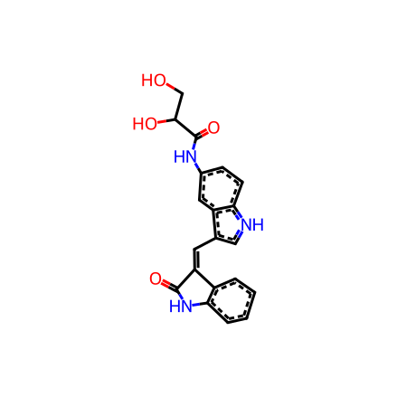 O=C1Nc2ccccc2/C1=C\c1c[nH]c2ccc(NC(=O)C(O)CO)cc12